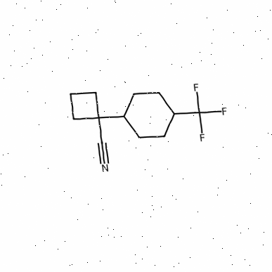 N#CC1(C2CCC(C(F)(F)F)CC2)CCC1